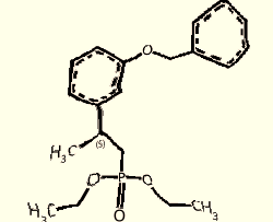 CCOP(=O)(C[C@@H](C)c1cccc(OCc2ccccc2)c1)OCC